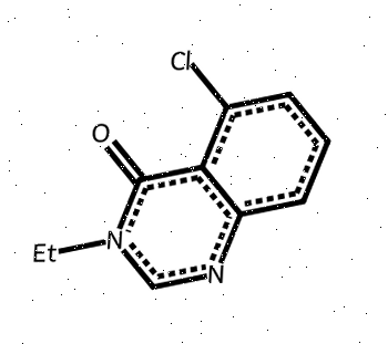 CCn1cnc2cccc(Cl)c2c1=O